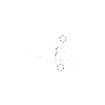 CCN1/C(=C/C=C/C2=[N+](CCCCCC(=O)O)c3ccc(S(=O)(=O)O)cc3C2(C)CCCS(=O)(=O)O)C(C)(CCOCCOC)c2cc(S(=O)(=O)[O-])ccc21